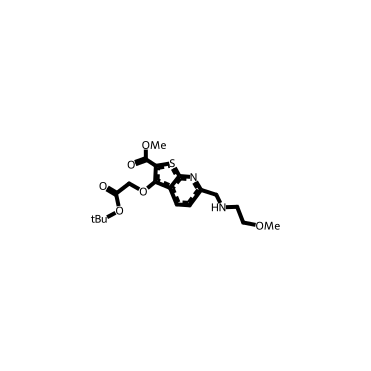 COCCNCc1ccc2c(OCC(=O)OC(C)(C)C)c(C(=O)OC)sc2n1